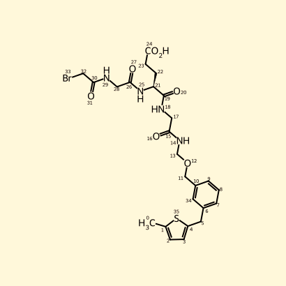 Cc1ccc(Cc2cccc(COCNC(=O)CNC(=O)[C@H](CCC(=O)O)NC(=O)CNC(=O)CBr)c2)s1